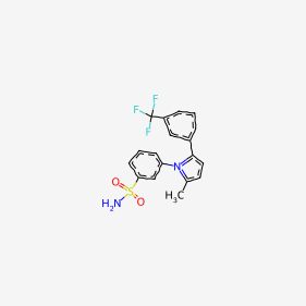 Cc1ccc(-c2cccc(C(F)(F)F)c2)n1-c1cccc(S(N)(=O)=O)c1